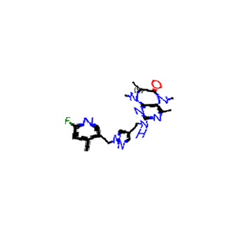 Cc1cc(F)ncc1Cn1cc(CNc2nc(C)c3c(n2)N(C)[C@@H](C)C(=O)N3C)cn1